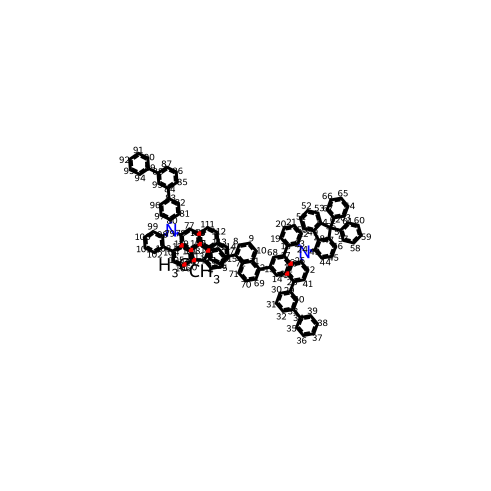 CC1(C)c2ccc(-c3cccc4c(-c5cccc(-c6ccccc6N(c6ccc(-c7cccc(-c8ccccc8)c7)cc6)c6cccc7c6-c6ccccc6C7(c6ccccc6)c6ccccc6)c5)cccc34)cc2-c2ccc(N(c3ccc(-c4cccc(-c5ccccc5)c4)cc3)c3ccccc3-c3cccc(-c4cccc5ccccc45)c3)cc21